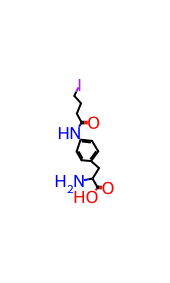 NC(Cc1ccc(NC(=O)CCCI)cc1)C(=O)O